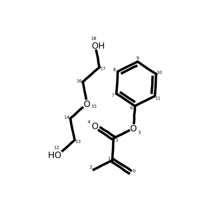 C=C(C)C(=O)Oc1ccccc1.OCCOCCO